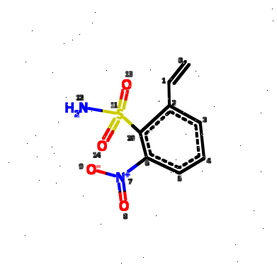 C=Cc1cccc([N+](=O)[O-])c1S(N)(=O)=O